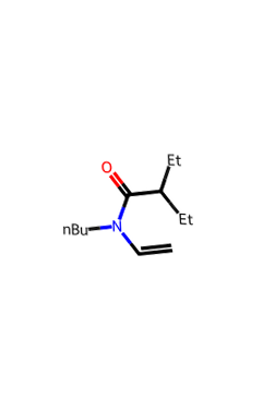 C=CN(CCCC)C(=O)C(CC)CC